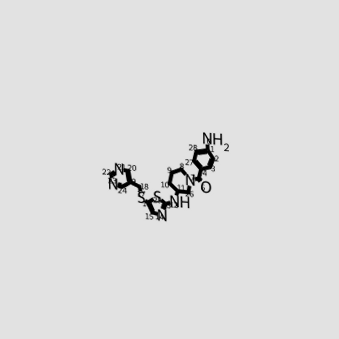 Nc1ccc(C(=O)N2CCCC(Nc3ncc(SCc4cncnc4)s3)C2)cc1